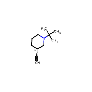 C#C[C@H]1CCCN(C(C)(C)C)C1